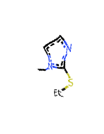 CCSc1nccn1C